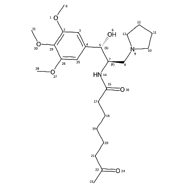 COc1cc([C@H](O)[C@@H](CN2CCCC2)NC(=O)CCCCCC(C)=O)cc(OC)c1OC